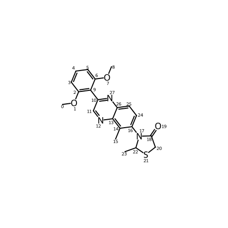 COc1cccc(OC)c1-c1cnc2c(C)c(N3C(=O)CSC3C)ccc2n1